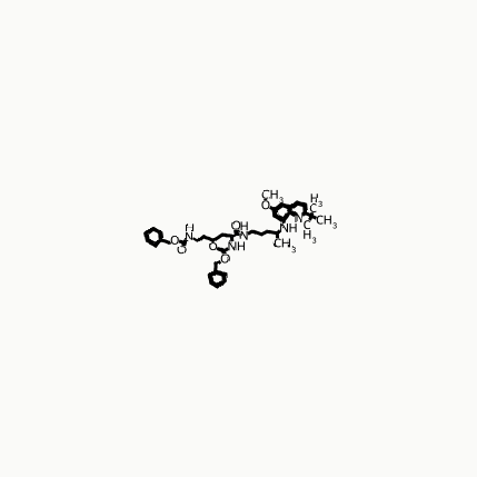 COc1cc(NC(C)CCCNC(=O)C(CCCCNC(=O)OCc2ccccc2)NC(=O)OCc2ccccc2)c2nc(C(C)(C)C)ccc2c1